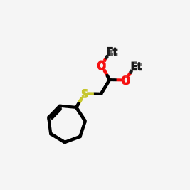 CCOC(CSC1C=CCCCC1)OCC